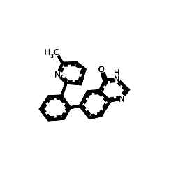 Cc1cccc(-c2ccccc2-c2ccc3nc[nH]c(=O)c3c2)n1